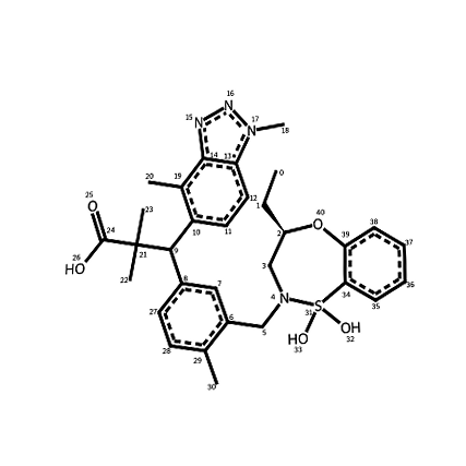 CC[C@@H]1CN(Cc2cc(C(c3ccc4c(nnn4C)c3C)C(C)(C)C(=O)O)ccc2C)S(O)(O)c2ccccc2O1